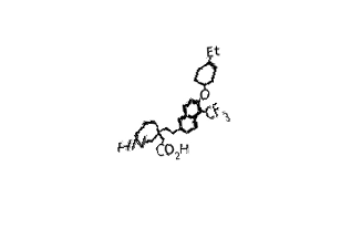 CC[C@H]1CC[C@@H](Oc2ccc3cc(CC[C@]4(CC(=O)O)CCCNC4)ccc3c2C(F)(F)F)CC1